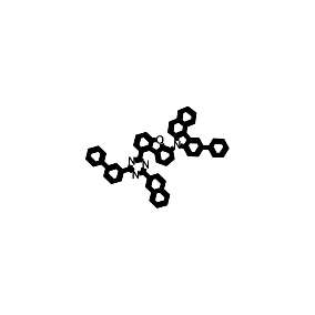 c1ccc(-c2cccc(-c3nc(-c4ccc5ccccc5c4)nc(-c4cccc5oc6c(-n7c8ccc(-c9ccccc9)cc8c8c9ccccc9ccc87)cccc6c45)n3)c2)cc1